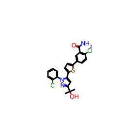 CC(C)(O)c1cc(-c2ccc(-c3ccc(Cl)c(C(N)=O)c3)s2)n(-c2ccccc2Cl)n1